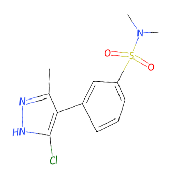 Cc1n[nH]c(Cl)c1-c1cccc(S(=O)(=O)N(C)C)c1